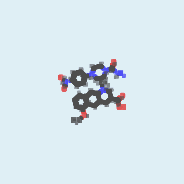 COc1cccc2c1CC1CC(C(=O)O)CN(C)C1C2.NC(=O)N1CCN(c2ccc([N+](=O)[O-])cc2)CC1